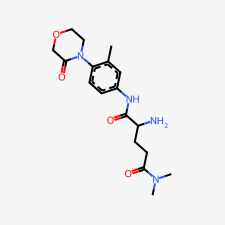 Cc1cc(NC(=O)C(N)CCC(=O)N(C)C)ccc1N1CCOCC1=O